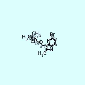 Cc1nc2ccc(Br)nc2n1COCC[Si](C)(C)C